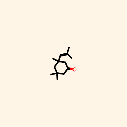 CC(C)=CC1(C)CC(=O)CC(C)(C)C1